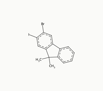 CC1(C)c2ccccc2-c2cc(Br)c(I)cc21